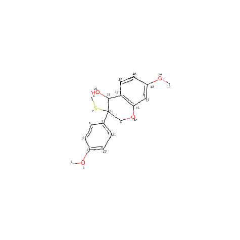 COc1ccc(C2(SC)COc3cc(OC)ccc3C2O)cc1